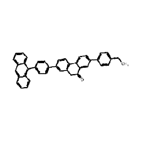 CCc1ccc(-c2ccc3c(c2)C(=O)Cc2cc(-c4ccc(-c5c6ccccc6cc6ccccc56)cc4)ccc2-3)cc1